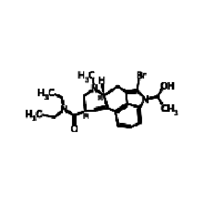 CCN(CC)C(=O)[C@@H]1C=C2c3cccc4c3c(c(Br)n4C(C)O)C[C@H]2N(C)C1